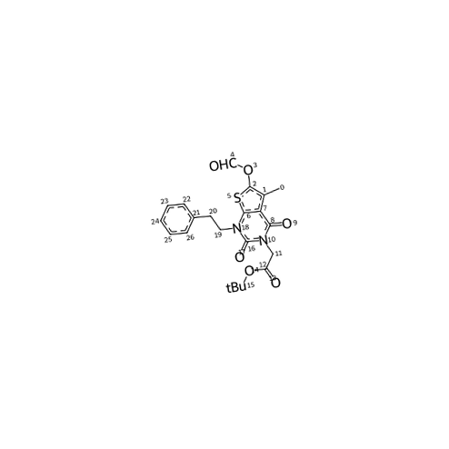 Cc1c(OC=O)sc2c1c(=O)n(CC(=O)OC(C)(C)C)c(=O)n2CCc1ccccc1